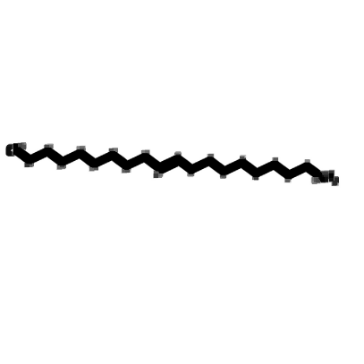 NCCCCCCCCC=CCCCCCCCCCl